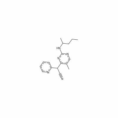 CCCC(C)Nc1ncc(C)c(C(C#N)c2ccccn2)n1